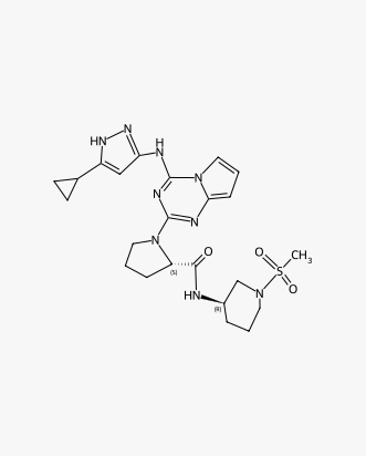 CS(=O)(=O)N1CCC[C@@H](NC(=O)[C@@H]2CCCN2c2nc(Nc3cc(C4CC4)[nH]n3)n3cccc3n2)C1